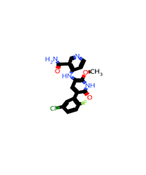 COc1[nH]c(=O)c(-c2cc(Cl)ccc2F)cc1Nc1ccncc1C(N)=O